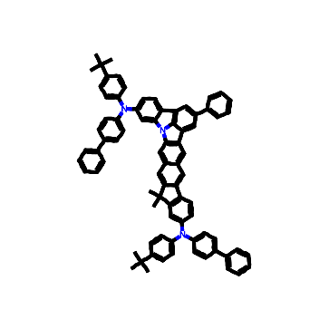 CC(C)(C)c1ccc(N(c2ccc(-c3ccccc3)cc2)c2ccc3c(c2)C(C)(C)c2cc4cc5c(cc4cc2-3)c2cc(-c3ccccc3)cc3c4ccc(N(c6ccc(-c7ccccc7)cc6)c6ccc(C(C)(C)C)cc6)cc4n5c32)cc1